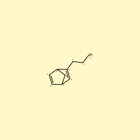 CC(C)CCC1=CC2C=CC1C2